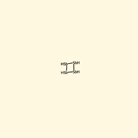 [SbH]1[SbH][SbH][SbH]1